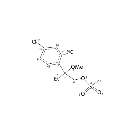 CCC(COS(C)(=O)=O)(OC)c1ccc(Cl)cc1Cl